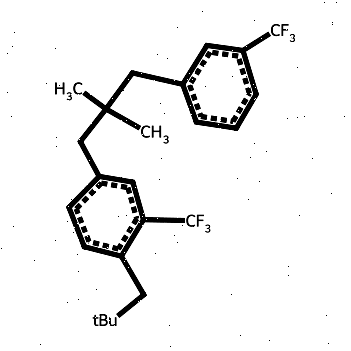 CC(C)(C)Cc1ccc(CC(C)(C)Cc2cccc(C(F)(F)F)c2)cc1C(F)(F)F